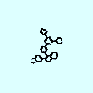 c1ccc(-c2cc(-c3cccc(-c4c(-c5ccc6scnc6c5)ccc5ccccc45)c3)nc(-c3ccccc3)n2)cc1